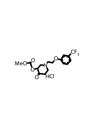 COC(=O)OC1CN(CCOc2cccc(C(F)(F)F)c2)CCC1=O.Cl